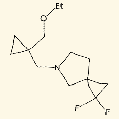 CCOCC1(CN2CCC3(C2)CC3(F)F)CC1